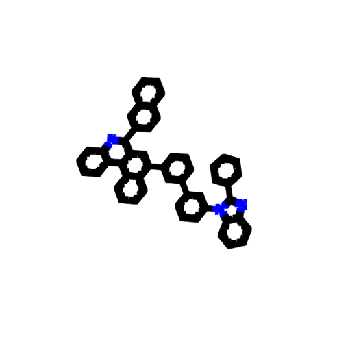 c1ccc(-c2nc3ccccc3n2-c2cccc(-c3cccc(-c4cc5c(-c6ccc7ccccc7c6)nc6ccccc6c5c5ccccc45)c3)c2)cc1